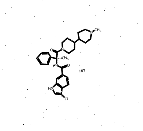 CN1CCC(C2CCN(C(=O)[C@@](C)(NC(=O)c3ccc4c(Cl)c[nH]c4c3)c3ccccc3)CC2)CC1.Cl